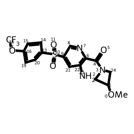 COC1CN(C(=O)c2ncc(S(=O)(=O)c3ccc(OC(F)(F)F)cc3)cc2N)C1